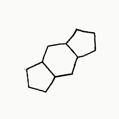 [CH]1CCC2CC3CCCC3CC12